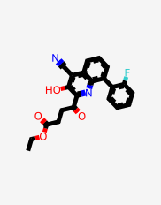 CCOC(=O)CCC(=O)c1nc2c(-c3ccccc3F)cccc2c(C#N)c1O